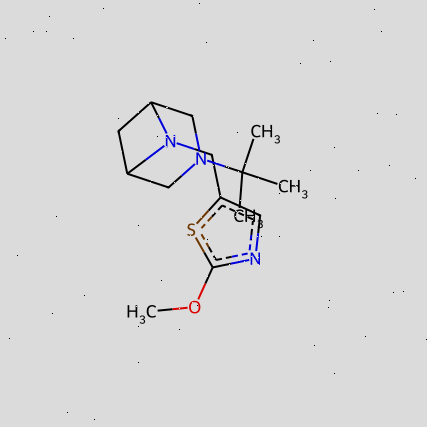 COc1ncc(CN2C3CC2CN(C(C)(C)C)C3)s1